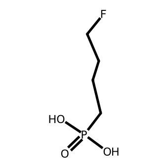 O=P(O)(O)CCCCF